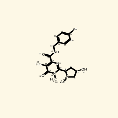 CC(=O)N1C[C@H](O)CC1c1nc(C(=O)NCc2ccc(F)cc2)c(O)c(=O)n1C